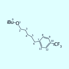 [CH2]CC(C)OCCCCCc1ccc(C(F)(F)F)cc1